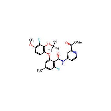 [2H]C([2H])([2H])Oc1c(Oc2cc(C(F)(F)F)cc(F)c2C(=O)Nc2ccnc(C(=O)OC)c2)ccc(OC(F)(F)F)c1F